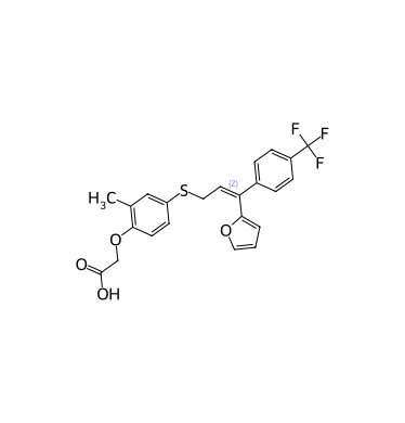 Cc1cc(SC/C=C(/c2ccc(C(F)(F)F)cc2)c2ccco2)ccc1OCC(=O)O